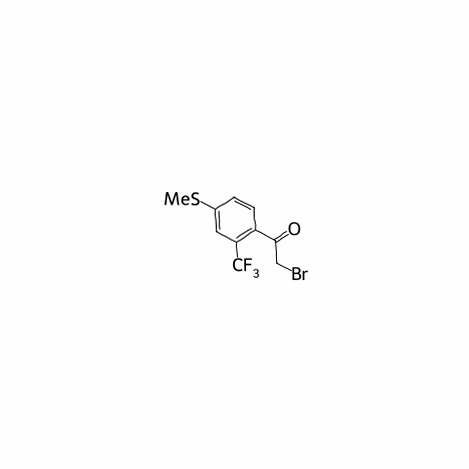 CSc1ccc(C(=O)CBr)c(C(F)(F)F)c1